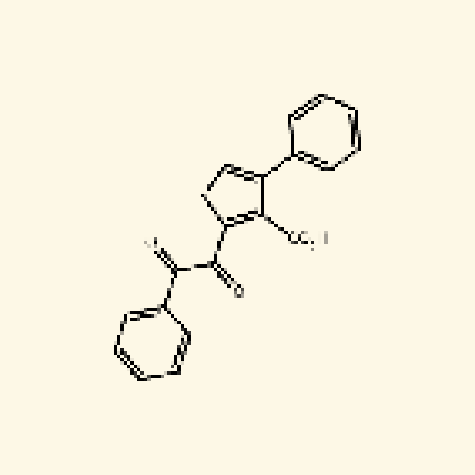 O=C(C(=O)c1scc(-c2ccccc2)c1C(=O)O)c1ccccc1